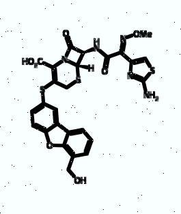 CON=C(C(=O)N[C@@H]1C(=O)N2C(C(=O)O)=C(Sc3ccc4oc5c(CO)cccc5c4c3)CS[C@@H]12)c1csc(N)n1